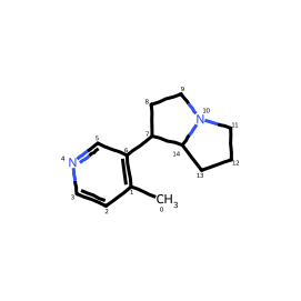 Cc1ccncc1C1CCN2CCCC12